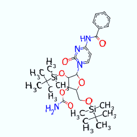 CC(C)(C)[Si](C)(C)OCC1OC(n2ccc(NC(=O)c3ccccc3)nc2=O)C(O[Si](C)(C)C(C)(C)C)C1OC(N)=O